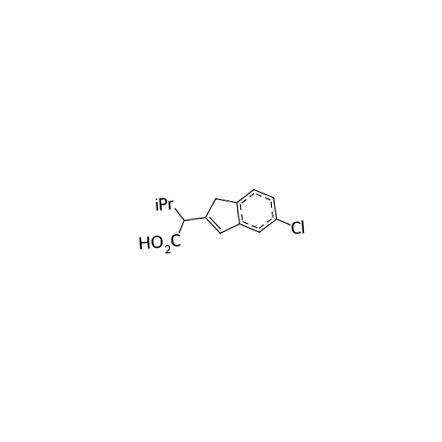 CC(C)C(C(=O)O)C1=Cc2cc(Cl)ccc2C1